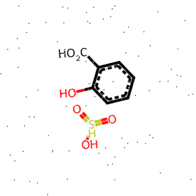 O=C(O)c1ccccc1O.O=[SH](=O)O